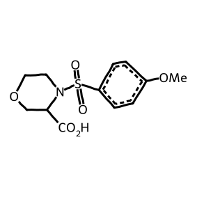 COc1ccc(S(=O)(=O)N2CCOCC2C(=O)O)cc1